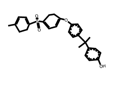 CC1=CC=C(S(=O)(=O)C2=CC=C(Oc3ccc(C(C)(C)c4ccc(O)cc4)cc3)CC2)CC1